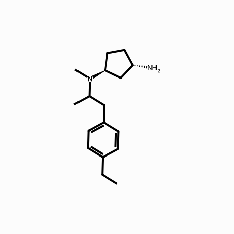 CCc1ccc(CC(C)N(C)[C@H]2CC[C@H](N)C2)cc1